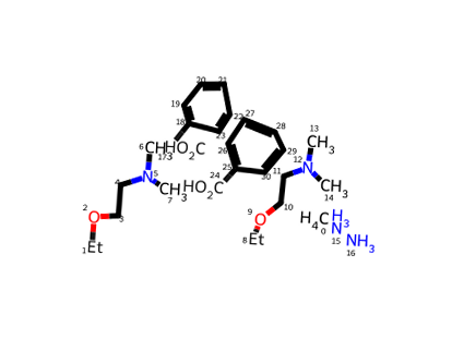 C.CCOCCN(C)C.CCOCCN(C)C.N.N.O=C(O)c1ccccc1.O=C(O)c1ccccc1